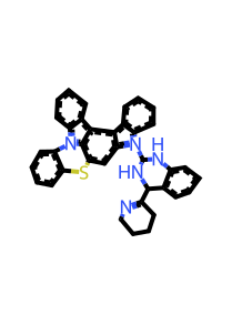 c1ccc2c(c1)NC(n1c3ccccc3c3c4c5ccccc5n5c4c(cc31)Sc1ccccc1-5)NC2C1=NCCCC1